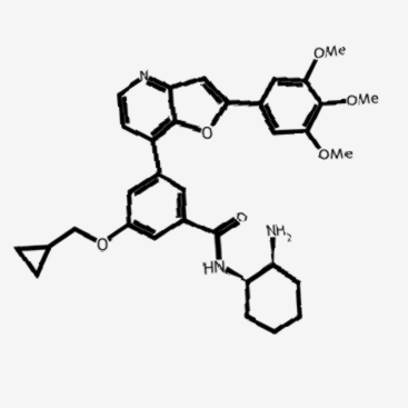 COc1cc(-c2cc3nccc(-c4cc(OCC5CC5)cc(C(=O)N[C@@H]5CCCC[C@@H]5N)c4)c3o2)cc(OC)c1OC